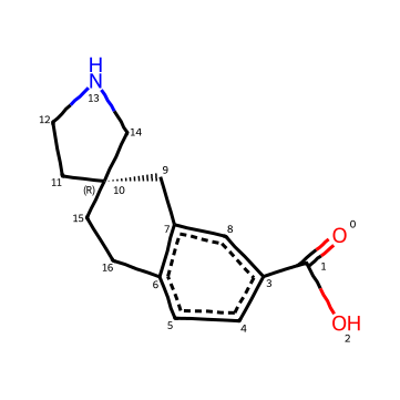 O=C(O)c1ccc2c(c1)C[C@@]1(CCNC1)CC2